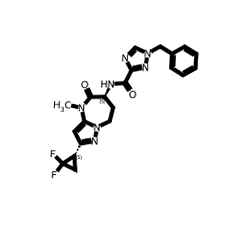 CN1C(=O)[C@@H](NC(=O)c2ncn(Cc3ccccc3)n2)CCn2nc([C@@H]3CC3(F)F)cc21